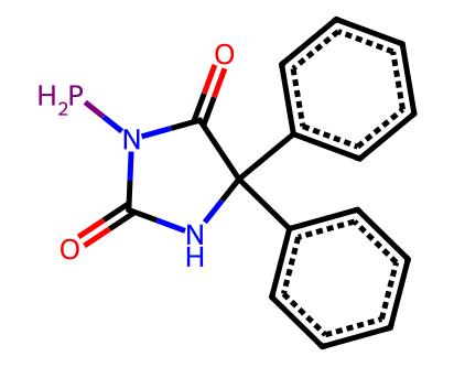 O=C1NC(c2ccccc2)(c2ccccc2)C(=O)N1P